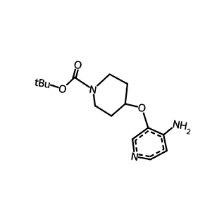 CC(C)(C)OC(=O)N1CCC(Oc2cnccc2N)CC1